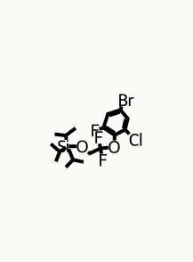 CC(C)[Si](OCC(F)(F)Oc1c(F)cc(Br)cc1Cl)(C(C)C)C(C)C